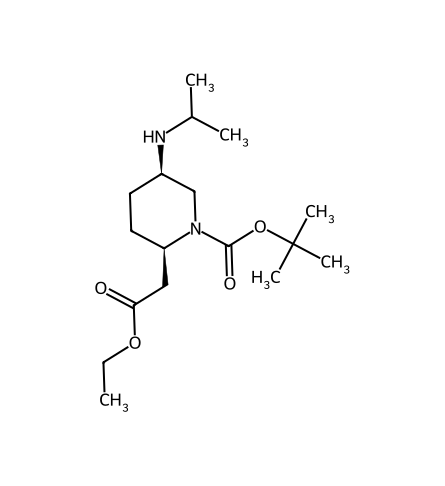 CCOC(=O)C[C@H]1CC[C@@H](NC(C)C)CN1C(=O)OC(C)(C)C